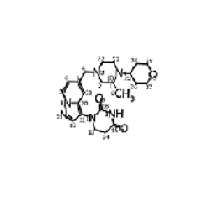 C[C@H]1CN(Cc2ccn3ncc(N4CCC(=O)NC4=O)c3c2)CCN1C1CCOCC1